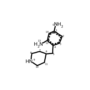 Nc1ccc(CC2CCNCC2)c(N)c1